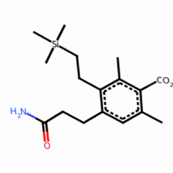 Cc1cc(CCC(N)=O)c(CC[Si](C)(C)C)c(C)c1C(=O)O